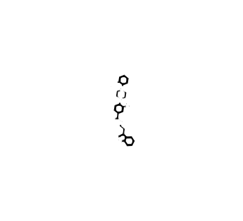 Cc1ccccc1N1CCN(c2ccc(C(=O)NCCc3c[nH]c4ccccc34)cc2N)CC1